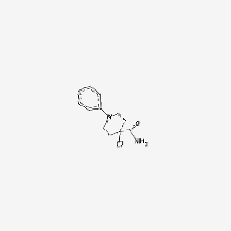 NC(=O)C1(Cl)CCN(c2ccccc2)CC1